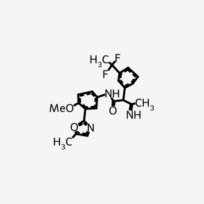 COc1ccc(NC(=O)C(C(C)=N)c2cccc(C(C)(F)F)c2)cc1-c1ncc(C)o1